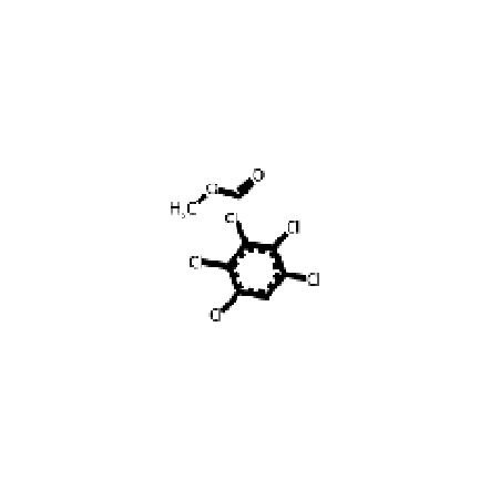 COC=O.Clc1cc(Cl)c(Cl)c(Cl)c1Cl